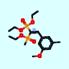 CCOP(C)(=O)/C(=C\c1cc(C)cc(OC)c1)P(=O)(OCC)OCC